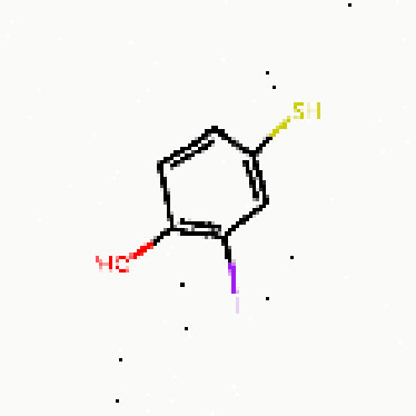 Oc1ccc(S)cc1I